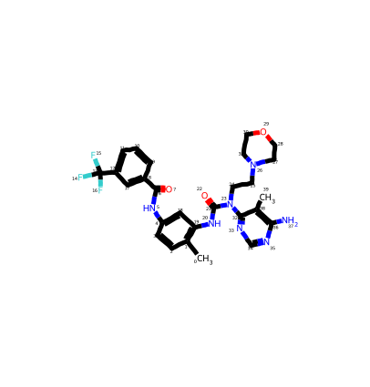 Cc1ccc(NC(=O)c2cccc(C(F)(F)F)c2)cc1NC(=O)N(CCN1CCOCC1)c1ncnc(N)c1C